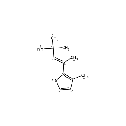 CCCC(C)(C)/C=C(\C)c1sccc1C